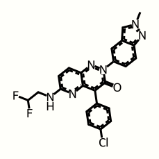 Cn1cc2cc(-n3nc4ccc(NCC(F)F)nc4c(-c4ccc(Cl)cc4)c3=O)ccc2n1